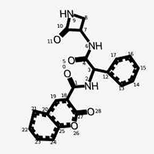 O=C(NC(C(=O)NC1CNC1=O)c1ccccc1)c1cc2ccccc2oc1=O